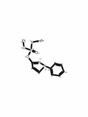 CCCSP(=O)(OCC)Oc1ccn(-c2ccccc2)n1